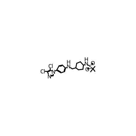 CC(C)(C)S(=O)(=O)NC1CCC(CNc2ccc(-n3cnc(Cl)c3Cl)cc2)CC1